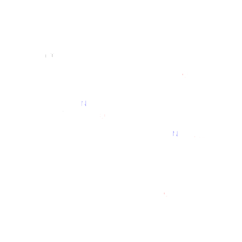 CC(C)C1=CC2(CCCCC2)N(OCC(C)C2=CC3(CCOCC3)N(O)C23CCOCC3)C12CCCCC2